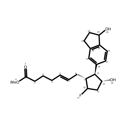 COC(=O)CCCC=CC[C@H]1C(F)C[C@@H](O)[C@@H]1c1ccc2c(c1)CCC2O